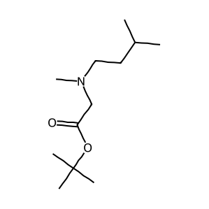 CC(C)CCN(C)CC(=O)OC(C)(C)C